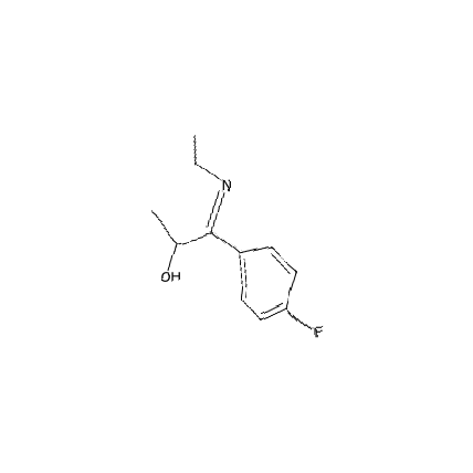 CC/N=C(/c1ccc(F)cc1)C(C)O